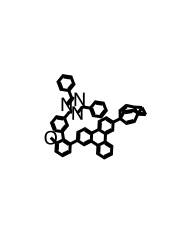 C1=CC2(c3ccc4c5ccc(-c6cccc7oc8ccc(-c9nc(-c%10ccccc%10)nc(-c%10ccccc%10)n9)cc8c67)cc5c5ccccc5c4c3)C=CC3C4C1C34C=C2